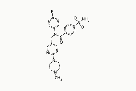 CN1CCN(c2ccc(CN(C(=O)c3ccc(S(N)(=O)=O)cc3)c3ccc(F)cc3)cn2)CC1